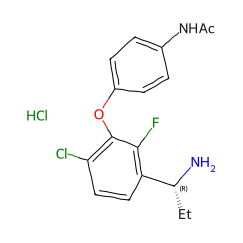 CC[C@@H](N)c1ccc(Cl)c(Oc2ccc(NC(C)=O)cc2)c1F.Cl